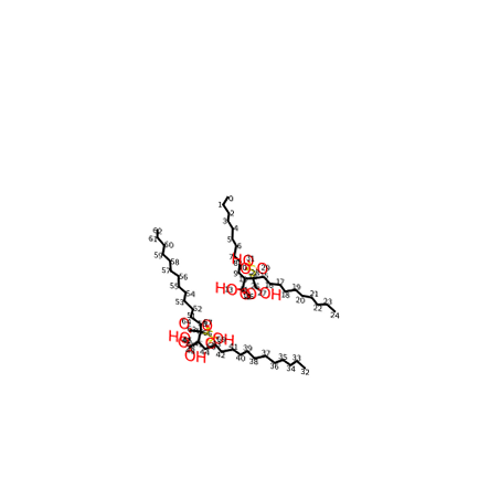 CCCCCCCCCCC(C(=O)O)C(CCCCCCCCCC)(C(=O)O)S(=O)(=O)O.CCCCCCCCCCCCCC(C(=O)O)C(CCCCCCCCCCCCC)(C(=O)O)S(=O)(=O)O